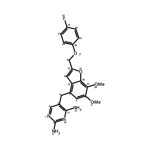 COc1cc(Cc2cnc(N)nc2N)c2cc(COc3ccc(F)cc3)oc2c1OC